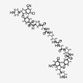 N#Cc1cc(Cl)cc2c1C[C@H](N1CCNCC1)[C@H]2Oc1ccc(S(=O)(=O)N[C@H]2CCN(C(=O)CNC(=O)NCCCCNC(=O)NCC(=O)N3CC[C@H](NS(=O)(=O)c4ccc(O[C@H]5c6cc(Cl)cc(C#N)c6C[C@@H]5N5CCNCC5)cc4)C3)C2)cc1